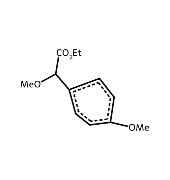 CCOC(=O)C(OC)c1ccc(OC)cc1